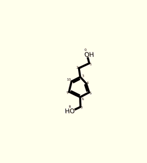 OC[CH]c1ccc(CO)cc1